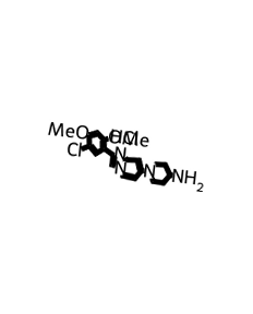 COc1cc(OC)c(-c2cn3ccc(N4CCC(N)CC4)cc3n2)cc1Cl.Cl